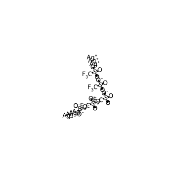 O=S(=O)([O-])C(F)(F)F.O=S(=O)([O-])C(F)(F)F.O=S(=O)([O-])C(F)(F)F.O=S(=O)([O-])C(F)(F)F.[Ag+].[Ag+].[Ag+].[Ag+].[Ag+].[Ag+].[Ag+].[O-]B([O-])[O-]